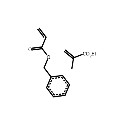 C=C(C)C(=O)OCC.C=CC(=O)OCc1ccccc1